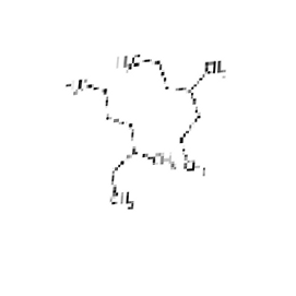 CCCC(C)CCC.CCCCC(C)CC